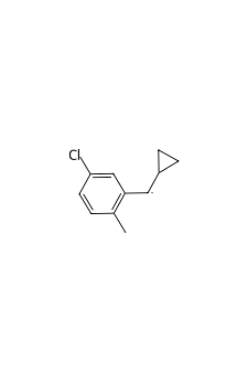 Cc1ccc(Cl)cc1[CH]C1CC1